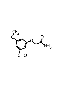 NC(=O)COc1cc(C=O)cc(OC(F)(F)F)c1